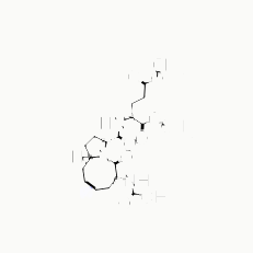 COC(=O)CC[C@H](NC(=O)[C@@H]1CC[C@H]2C/C=C\C[C@H](NC(=O)O)C(=O)N21)C(=O)OC